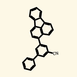 N#Cc1cc(-c2ccccc2)cc(-c2ccc3c4c(cccc24)-c2ccccc2-3)c1